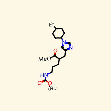 CCC1CCC(n2cnc(CC(CCCNC(=O)OC(C)(C)C)C(=O)OC)c2)CC1